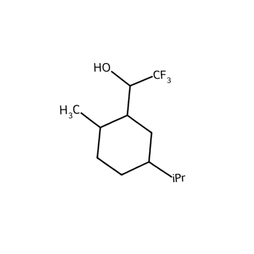 CC(C)C1CCC(C)C(C(O)C(F)(F)F)C1